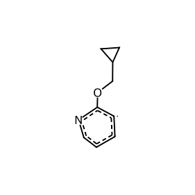 [c]1cccnc1OCC1CC1